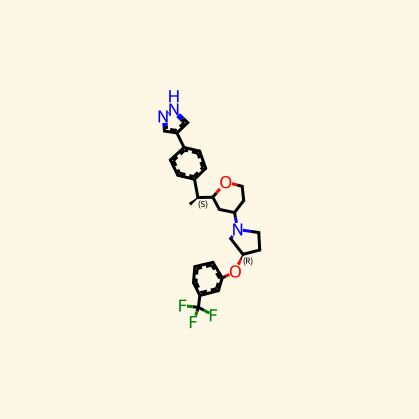 C[C@@H](c1ccc(-c2cn[nH]c2)cc1)C1CC(N2CC[C@@H](Oc3cccc(C(F)(F)F)c3)C2)CCO1